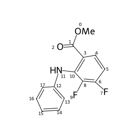 COC(=O)c1ccc(F)c(F)c1Nc1ccccc1